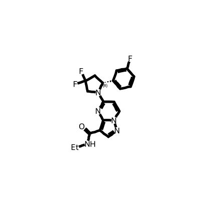 CCNC(=O)c1cnn2ccc(N3CC(F)(F)C[C@@H]3c3cccc(F)c3)nc12